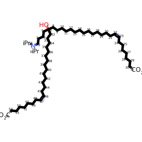 CC(C)N(CCCCC(O)(CCCCCCCCCCCCCC/C=C\CCCCCCCC(=O)O)CCCCCCCCCCCCCC/C=C\CCCCCCCC(=O)O)C(C)C